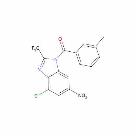 Cc1cccc(C(=O)n2c(C(F)(F)F)nc3c(Cl)cc([N+](=O)[O-])cc32)c1